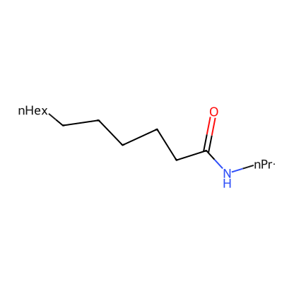 CC[CH]NC(=O)CCCCCCCCCCC